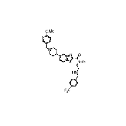 CCN(CCNCc1ccc(C(F)(F)F)cc1)C(=O)c1nc2cc(C3CCN(Cc4ccc(OC)nc4)CC3)ccc2s1